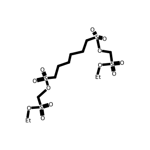 CCOS(=O)(=O)COS(=O)(=O)CCCCCCS(=O)(=O)OCS(=O)(=O)OCC